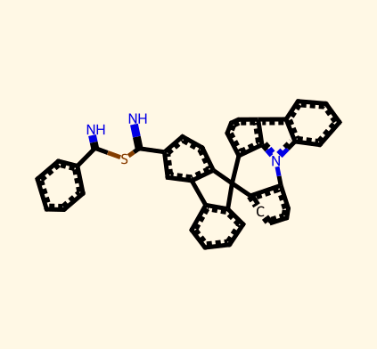 N=C(SC(=N)c1ccc2c(c1)-c1ccccc1C21c2ccccc2-n2c3ccccc3c3cccc1c32)c1ccccc1